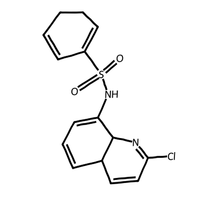 O=S(=O)(NC1=CC=CC2C=CC(Cl)=NC12)C1=CCCC=C1